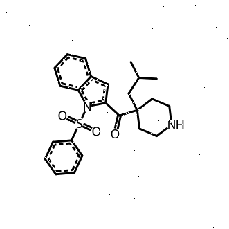 CC(C)CC1(C(=O)c2cc3ccccc3n2S(=O)(=O)c2ccccc2)CCNCC1